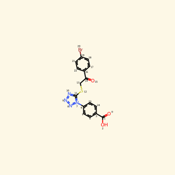 O=C(O)c1ccc(-n2nnnc2SCC(=O)c2ccc(Br)cc2)cc1